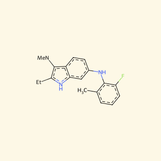 CCc1[nH]c2cc(Nc3c(C)cccc3F)ccc2c1NC